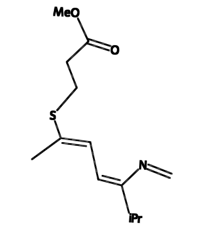 C=N/C(=C\C=C(/C)SCCC(=O)OC)C(C)C